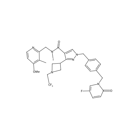 COc1ccnc(CN(I)C(=O)c2cn(Cc3ccc(Cn4cc(F)ccc4=O)cc3)nc2C2CN(CC(F)(F)F)C2)c1C